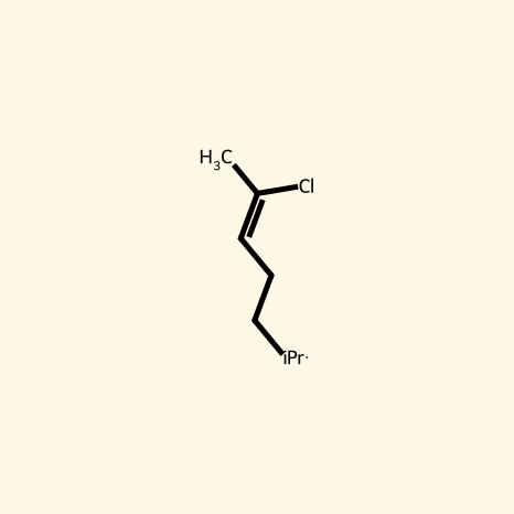 C[C](C)CCC=C(C)Cl